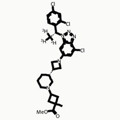 [2H]C([2H])([2H])[C@H](c1ccc(Cl)cc1Cl)n1nnc2c(Cl)cc(N3CC([C@H]4CCCN(C5CC(C)(C(=O)OC)C5)C4)C3)cc21